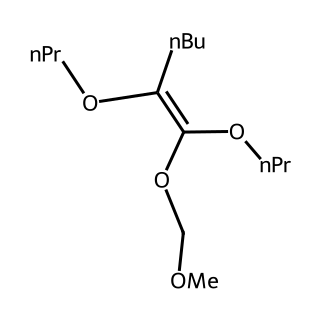 CCCC/C(OCCC)=C(\OCCC)OCOC